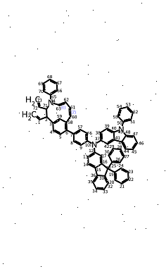 C=CC1c2ccc(-c3ccc(N(c4ccc5c(c4)C(c4ccccc4)(c4ccccc4)c4ccccc4-5)c4ccc5c(c4)c4ccccc4n5-c4ccccc4)cc3)c(c2)/C=C\C=C\N(c2ccccc2)C1C=C